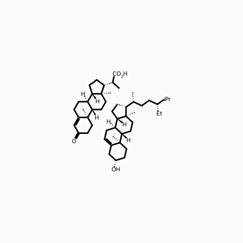 CC(C(=O)O)[C@H]1CC[C@H]2[C@@H]3CCC4=CC(=O)CC[C@]4(C)[C@H]3CC[C@]12C.CC[C@H](CC[C@@H](C)[C@H]1CC[C@H]2[C@@H]3CC=C4C[C@@H](O)CC[C@]4(C)[C@H]3CC[C@]12C)C(C)C